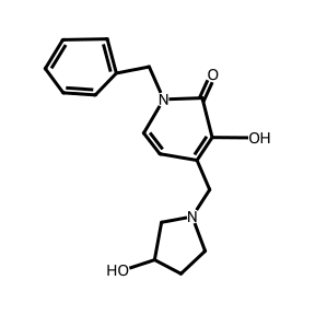 O=c1c(O)c(CN2CCC(O)C2)ccn1Cc1ccccc1